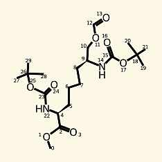 COC(=O)[C@H](CCCC[C@@H](COC=O)NC(=O)OC(C)(C)C)NC(=O)OC(C)(C)C